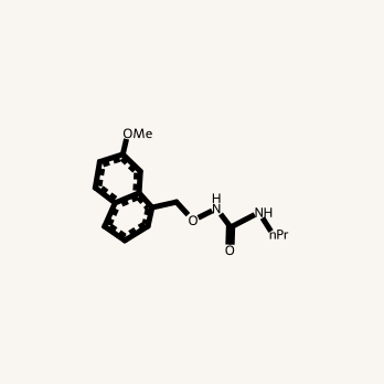 CCCNC(=O)NOCc1cccc2ccc(OC)cc12